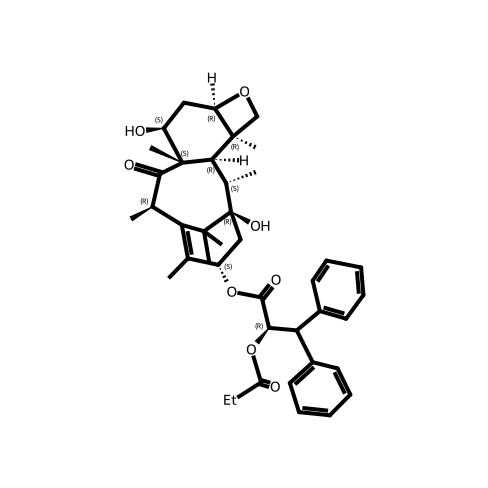 CCC(=O)O[C@@H](C(=O)O[C@H]1C[C@@]2(O)[C@@H](C)[C@@H]3[C@]4(C)CO[C@@H]4C[C@H](O)[C@@]3(C)C(=O)[C@H](C)C(=C1C)C2(C)C)C(c1ccccc1)c1ccccc1